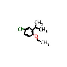 CCOc1ccc(Cl)cc1[C](C)C